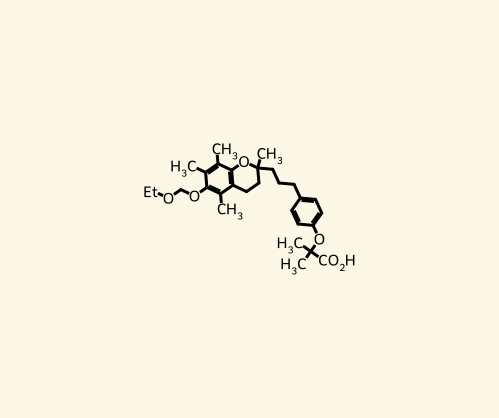 CCOCOc1c(C)c(C)c2c(c1C)CCC(C)(CCCc1ccc(OC(C)(C)C(=O)O)cc1)O2